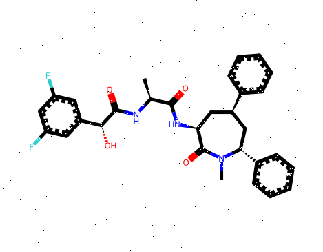 C[C@H](NC(=O)[C@H](O)c1cc(F)cc(F)c1)C(=O)N[C@H]1C[C@@H](c2ccccc2)C[C@H](c2ccccc2)N(C)C1=O